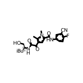 CC[C@H](C)[C@@H](CO)NC(=O)C(=O)c1cc(C(=O)Nc2ccc(F)c(C#N)c2)n(C)c1C